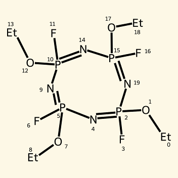 CCOP1(F)=NP(F)(OCC)=NP(F)(OCC)=NP(F)(OCC)=N1